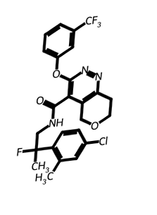 Cc1cc(Cl)ccc1C(C)(F)CNC(=O)c1c(Oc2cccc(C(F)(F)F)c2)nnc2c1COCC2